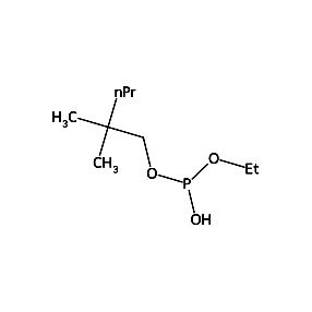 CCCC(C)(C)COP(O)OCC